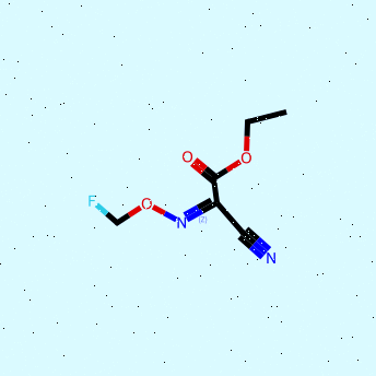 CCOC(=O)/C(C#N)=N\OCF